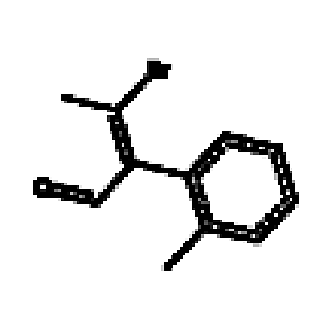 C/C(Br)=C(\C=O)c1ccccc1C